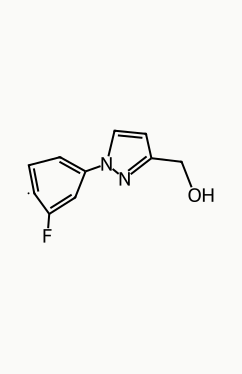 OCc1ccn(-c2cc[c]c(F)c2)n1